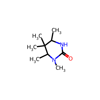 CC1NC(=O)N(C)C(C)C1(C)C